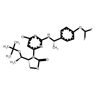 C[C@H](Nc1nc(Cl)cc(N2C(=O)OC[C@@H]2[C@@H](C)OC(C)(C)C)n1)c1ccc(OC(F)F)cc1